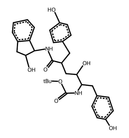 CC(C)(C)OC(=O)NC(Cc1ccc(O)cc1)C(O)CC(Cc1ccc(O)cc1)C(=O)NC1c2ccccc2CC1O